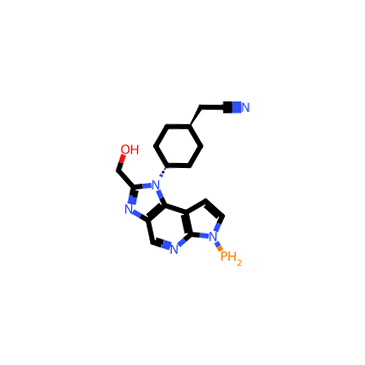 N#CC[C@H]1CC[C@H](n2c(CO)nc3cnc4c(ccn4P)c32)CC1